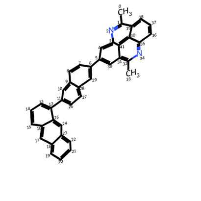 Cc1nc2cc(-c3ccc4cc(-c5cccc6cc7ccccc7cc56)ccc4c3)cc3c(C)nc4cccc1c4c23